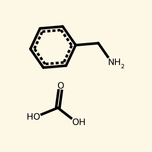 NCc1ccccc1.O=C(O)O